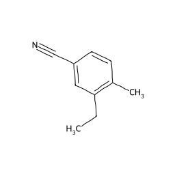 CCc1cc(C#N)ccc1C